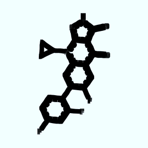 O=c1[nH]sc2c1c(=O)c1cc(F)c(-c3ccc(F)cc3F)cc1n2C1CC1